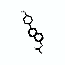 CCCCC1CCC(c2ccc3cc(OC(=O)CCC)ccc3c2)CC1